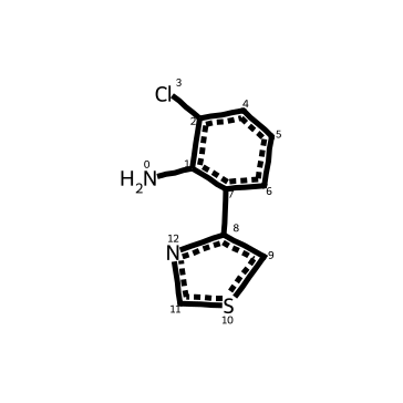 Nc1c(Cl)cccc1-c1cscn1